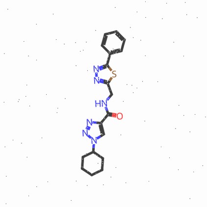 O=C(NCc1nnc(-c2ccccc2)s1)c1cn(C2CCCCC2)nn1